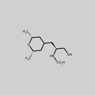 C[C@@H]1CC(C[C@@H](CO)NC(=O)O)C[C@H](C)O1